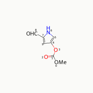 COC(=O)Oc1c[nH]c(C=O)c1